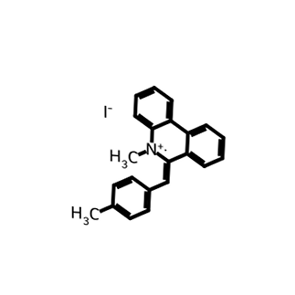 Cc1ccc(C=C2c3ccccc3-c3ccccc3[N+]2C)cc1.[I-]